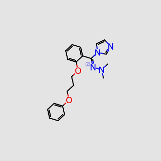 CN(C)/N=C(/c1ccccc1OCCCOc1ccccc1)n1ccnc1